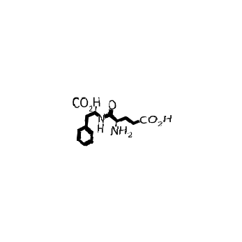 N[C@@H](CCC(=O)O)C(=O)N[C@H](Cc1ccccc1)C(=O)O